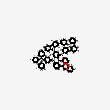 c1ccc(-c2ccc3c(c2)B2c4c(-c5ccccc5)cccc4N(c4ccc([Si](c5ccccc5)(c5ccccc5)c5ccccc5)cc4)c4cc(-n5c6ccccc6c6ccccc65)cc(c42)N3c2ccc([Si](c3ccccc3)(c3ccccc3)c3ccccc3)cc2)cc1